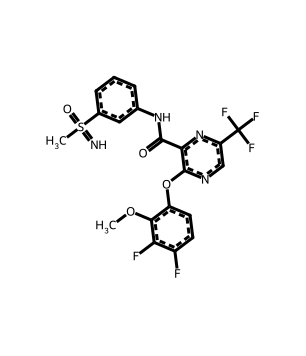 COc1c(Oc2ncc(C(F)(F)F)nc2C(=O)Nc2cccc(S(C)(=N)=O)c2)ccc(F)c1F